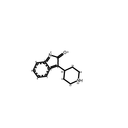 O=C1N=c2ccccc2=C1C1CCNCC1